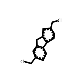 ClCc1ccc2c(c1)Cc1cc(CCl)ccc1-2